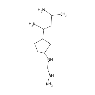 CC(N)CC(N)C1CCC(NCNN)C1